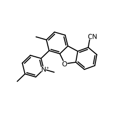 Cc1ccc(-c2c(C)ccc3c2oc2cccc(C#N)c23)[n+](C)c1